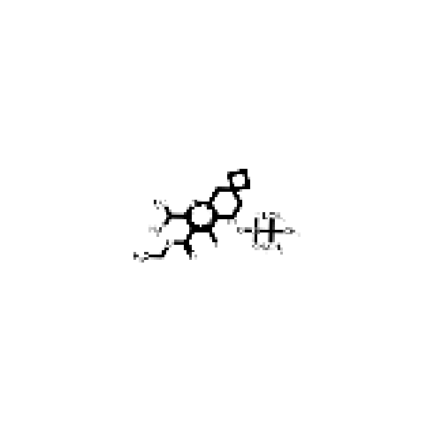 CCOC(=O)c1c(C(C)C)nc2c(c1I)[C@@H](O[Si](C)(C)C(C)(C)C)CC1(CCC1)C2